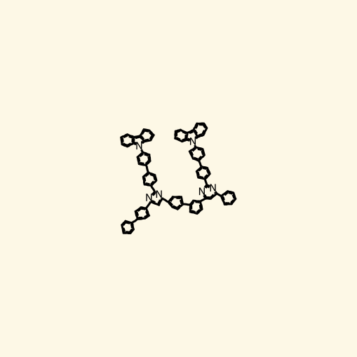 c1ccc(-c2ccc(-c3cc(-c4ccc(-c5cccc(-c6cc(-c7ccccc7)nc(-c7ccc(-c8ccc(-n9c%10ccccc%10c%10ccccc%109)cc8)cc7)n6)c5)cc4)nc(-c4ccc(-c5ccc(-n6c7ccccc7c7ccccc76)cc5)cc4)n3)cc2)cc1